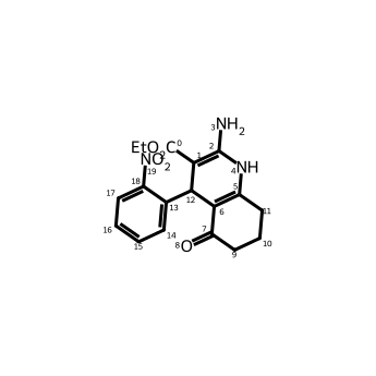 CCOC(=O)C1=C(N)NC2=C(C(=O)CCC2)C1c1ccccc1[N+](=O)[O-]